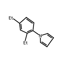 CCc1ccc(-n2cccc2)c(CC)c1